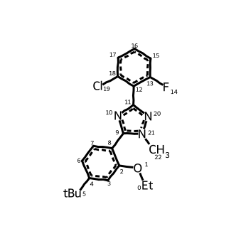 CCOc1cc(C(C)(C)C)ccc1-c1nc(-c2c(F)cccc2Cl)nn1C